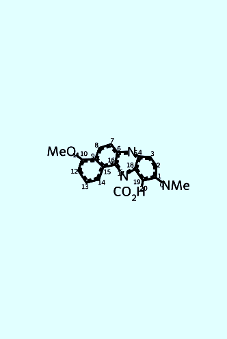 CNc1ccc2nc3ccc4c(OC)cccc4c3nc2c1C(=O)O